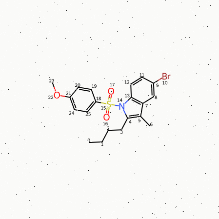 CCCCc1c(C)c2cc(Br)ccc2n1S(=O)(=O)c1ccc(OC)cc1